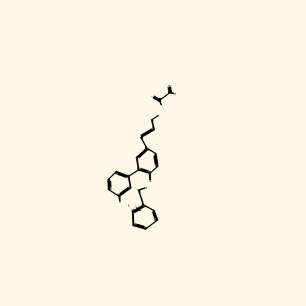 C=C(C)C(=O)OCC=Cc1ccc(OCc2ccccc2)c(-c2cccc(OC)c2)c1